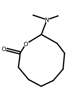 CN(C)C1CCCCCCCC(=O)O1